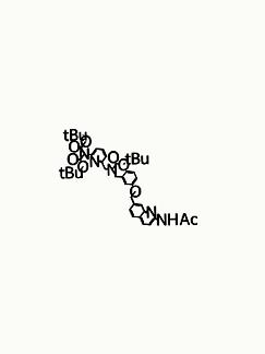 CC(=O)Nc1ccc2ccc(COc3cccc(CN(Cc4cccc(N(C(=O)OC(C)(C)C)C(=O)OC(C)(C)C)n4)C(=O)OC(C)(C)C)c3)cc2n1